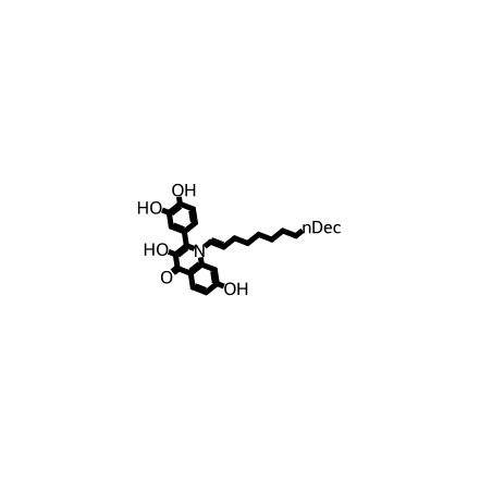 CCCCCCCCCCCCCCCCC=Cn1c(-c2ccc(O)c(O)c2)c(O)c(=O)c2ccc(O)cc21